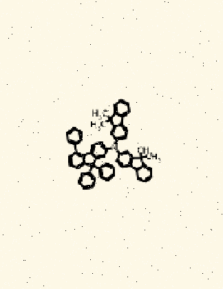 CC1(C)C2=CC=CCC2c2ccc(N(c3ccc4c(c3)C(C)(C)c3ccccc3-4)c3ccc4c(c3)C(c3ccccc3)(c3ccccc3)c3cccc(-c5ccccc5)c3-4)cc21